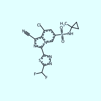 CC1(NS(=O)(=O)c2cc(Cl)c3c(C#N)nc(-c4nnc(C(F)F)s4)n3c2)CC1